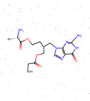 CCCCCCCCCCCC(=O)OCC(CCOC(=O)[C@@H](N)C(C)C)Cn1cnc2c(=O)[nH]c(N)nc21